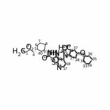 C=CC(=O)C[C@@H]1CCC[C@H](NC(=O)c2sc3nccc4c3c2NC(=O)N4c2ccc(Oc3ccccc3)cc2C)C1